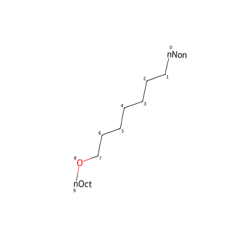 [CH2]CCCCCCCCCCCCCCCOCCCCCCC[CH2]